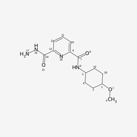 COC1CCC(NC(=O)c2cccc(C(=O)NN)n2)CC1